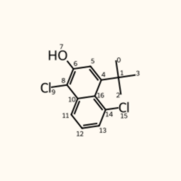 CC(C)(C)c1cc(O)c(Cl)c2cccc(Cl)c12